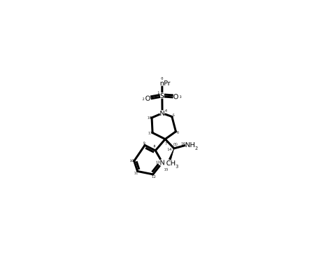 CCCS(=O)(=O)N1CCC(c2ccccn2)([C@H](C)N)CC1